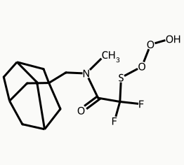 CN(CC12CC3CC(CC(C3)C1)C2)C(=O)C(F)(F)SOOO